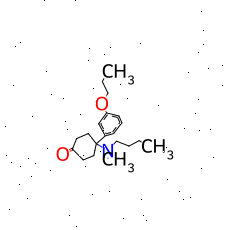 CCCCN(C)C1(c2cccc(OCCC)c2)CCC(=O)CC1